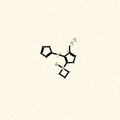 CC[Si]1(C2=[C]([Ti+2][C]3=CC=CC3)C(C)=CC2)CCC1.[Cl-].[Cl-]